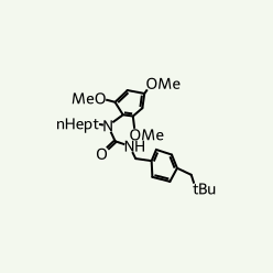 CCCCCCCN(C(=O)NCc1ccc(CC(C)(C)C)cc1)c1c(OC)cc(OC)cc1OC